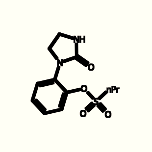 CCCS(=O)(=O)Oc1ccccc1N1CCNC1=O